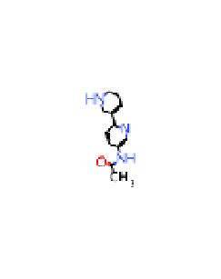 CC(=O)Nc1ccc(C2=CCCNC2)nc1